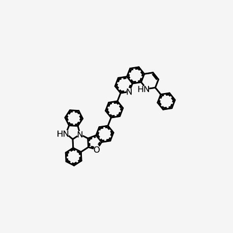 C1=CC(c2ccccc2)Nc2c1ccc1ccc(-c3ccc(-c4ccc5oc6c(c5c4)N4c5ccccc5NC4c4ccccc4-6)cc3)nc21